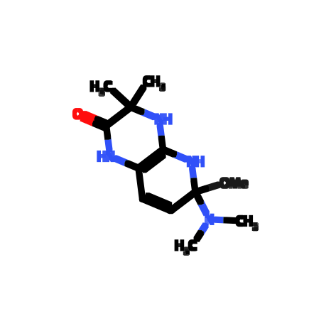 COC1(N(C)C)C=CC2=C(NC(C)(C)C(=O)N2)N1